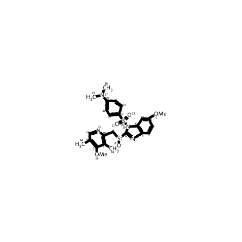 COc1ccc2nc([S+]([O-])Cc3ncc(C)c(OC)c3C)n(S(=O)(=O)c3ccc(N(C)C)cc3)c2c1